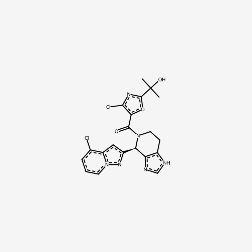 CC(C)(O)c1nc(Cl)c(C(=O)N2CCc3[nH]cnc3[C@H]2c2cc3c(Cl)cccn3n2)o1